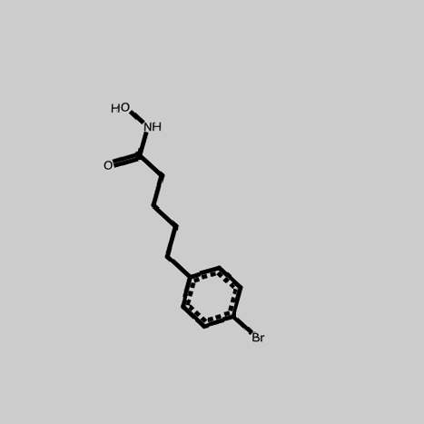 O=C(CCCCc1ccc(Br)cc1)NO